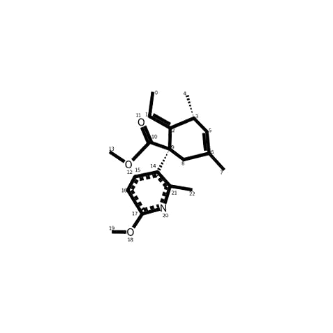 CC=C1[C@H](C)C=C(C)C[C@]1(C(=O)OC)c1ccc(OC)nc1C